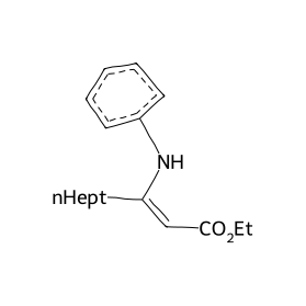 CCCCCCC/C(=C/C(=O)OCC)Nc1ccccc1